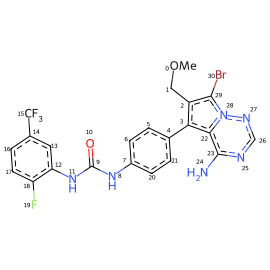 COCc1c(-c2ccc(NC(=O)Nc3cc(C(F)(F)F)ccc3F)cc2)c2c(N)ncnn2c1Br